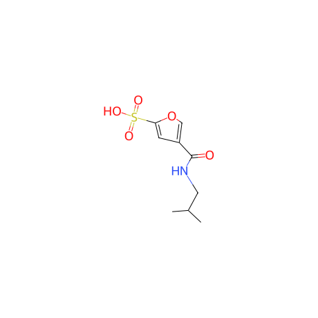 CC(C)CNC(=O)c1coc(S(=O)(=O)O)c1